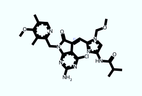 COCn1cc(NC(=O)C(C)C)nc1/C=C1/C(=O)N(Cc2ncc(C)c(OC)c2C)c2nc(N)nc(Cl)c21